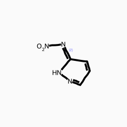 O=[N+]([O-])/N=c1/cccn[nH]1